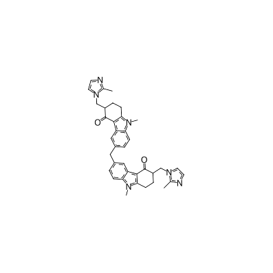 Cc1nccn1CC1CCc2c(c3cc(Cc4ccc5c(c4)c4c(n5C)CCC(Cn5ccnc5C)C4=O)ccc3n2C)C1=O